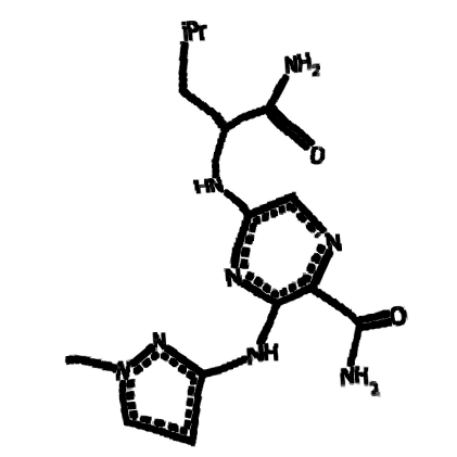 CC(C)CC(Nc1cnc(C(N)=O)c(Nc2ccn(C)n2)n1)C(N)=O